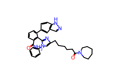 NC(=O)c1cccc(-c2ccc3[nH]ncc3c2)c1-c1nc(CCCCCC(=O)N2CCCCCC2)cn1-c1ccccc1